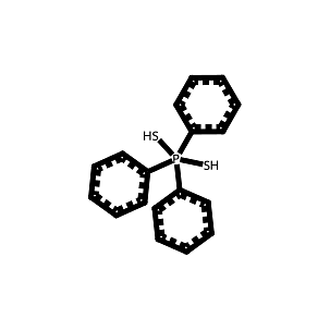 SP(S)(c1ccccc1)(c1ccccc1)c1ccccc1